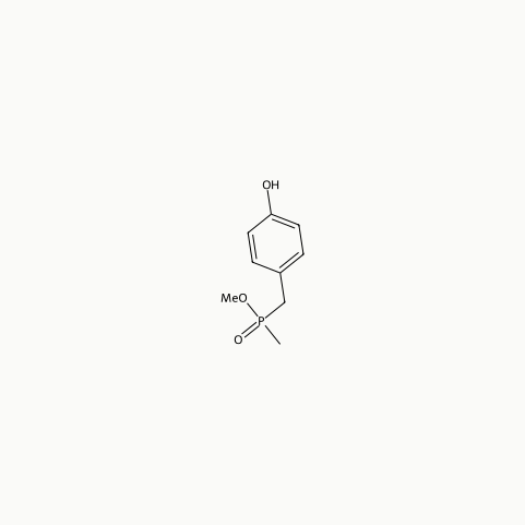 COP(C)(=O)Cc1ccc(O)cc1